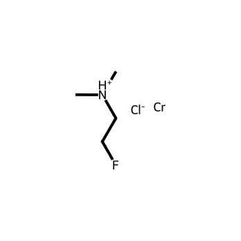 C[NH+](C)CCF.[Cl-].[Cr]